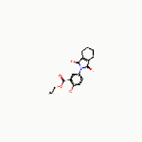 CC(C)(C)COC(=O)c1cc(N2C(=O)C3=C(CCCC3)C2=O)ccc1O